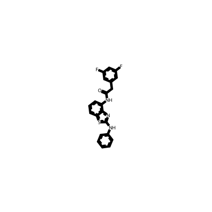 O=C(Cc1cc(F)cc(F)c1)Nc1cccc2sc(Nc3ccccc3)nc12